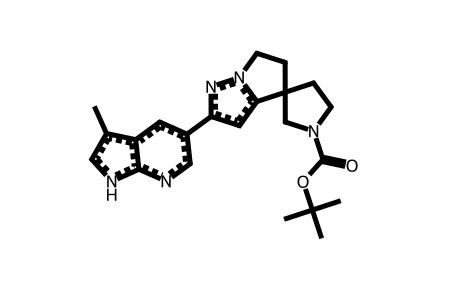 Cc1c[nH]c2ncc(-c3cc4n(n3)CCC43CCN(C(=O)OC(C)(C)C)C3)cc12